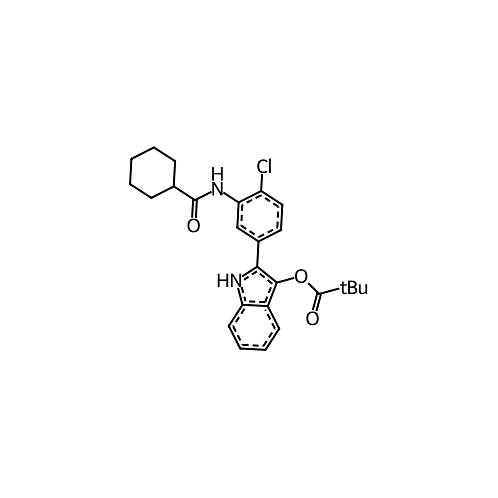 CC(C)(C)C(=O)Oc1c(-c2ccc(Cl)c(NC(=O)C3CCCCC3)c2)[nH]c2ccccc12